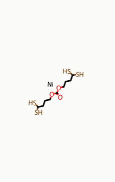 O=C(OCCCC(S)S)OCCCC(S)S.[Ni]